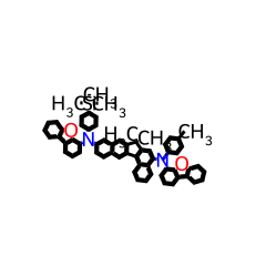 Cc1ccc(N(c2cc3c(c4ccccc24)-c2cc4ccc(N(c5ccc([Si](C)(C)C)cc5)c5cccc6c5oc5ccccc56)cc4cc2C3(C)C)c2cccc3c2oc2ccccc23)cc1